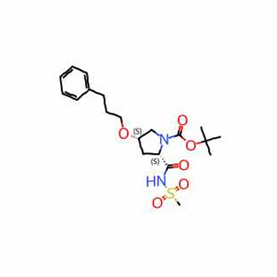 CC(C)(C)OC(=O)N1C[C@@H](OCCCc2ccccc2)C[C@H]1C(=O)NS(C)(=O)=O